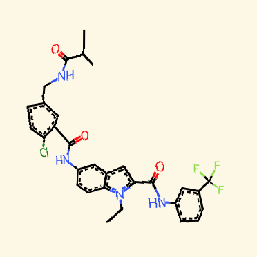 CCn1c(C(=O)Nc2cccc(C(F)(F)F)c2)cc2cc(NC(=O)c3cc(CNC(=O)C(C)C)ccc3Cl)ccc21